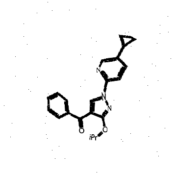 CC(C)Oc1nn(-c2ccc(C3CC3)cn2)cc1C(=O)c1ccccc1